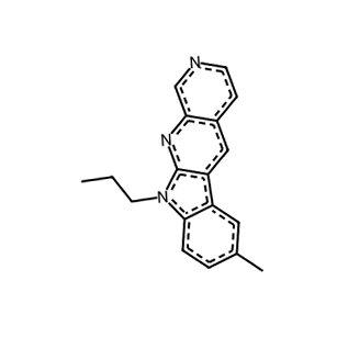 CCCn1c2ccc(C)cc2c2cc3ccncc3nc21